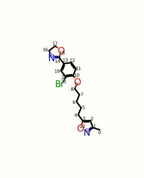 Cc1cc(CCCCCOc2ccc(C3=NCCO3)cc2Br)on1